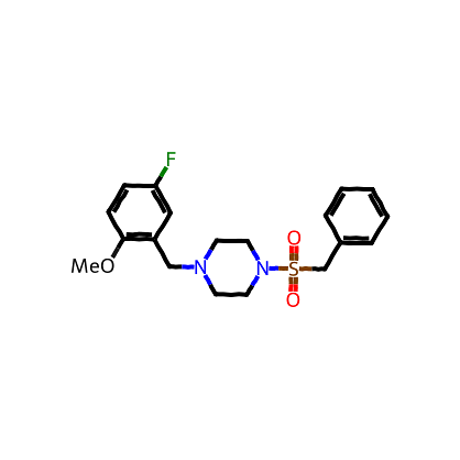 COc1ccc(F)cc1CN1CCN(S(=O)(=O)Cc2ccccc2)CC1